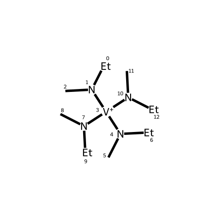 CC[N](C)[V+]([N](C)CC)([N](C)CC)[N](C)CC